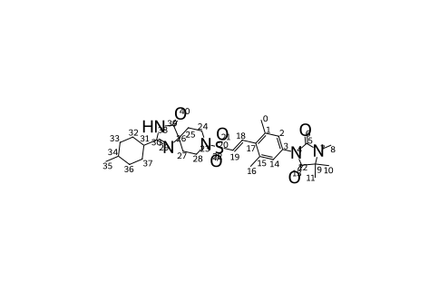 Cc1cc(N2C(=O)N(C)C(C)(C)C2=O)cc(C)c1C=CS(=O)(=O)N1CCC2(CC1)N=C(C1CCC(C)CC1)NC2=O